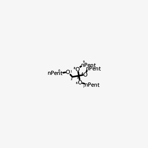 CCCCCOCC(OCCCCC)(OCCCCC)OCCCCC